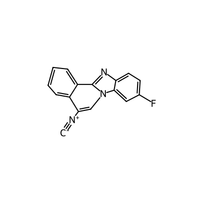 [C-]#[N+]c1cn2c3cc(F)ccc3nc2c2ccccc12